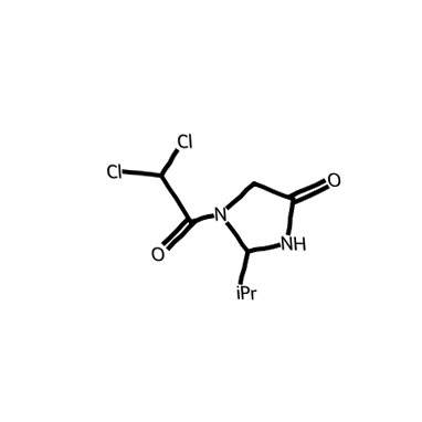 CC(C)C1NC(=O)CN1C(=O)C(Cl)Cl